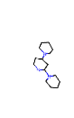 C1CCN(C2CC[N]C(N3CCCCC3)C2)CC1